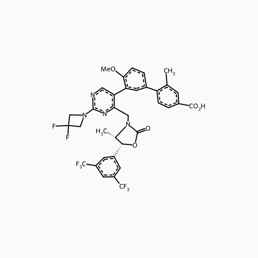 COc1ccc(-c2ccc(C(=O)O)cc2C)cc1-c1cnc(N2CC(F)(F)C2)nc1CN1C(=O)O[C@H](c2cc(C(F)(F)F)cc(C(F)(F)F)c2)[C@@H]1C